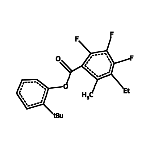 CCc1c(C)c(C(=O)Oc2ccccc2C(C)(C)C)c(F)c(F)c1F